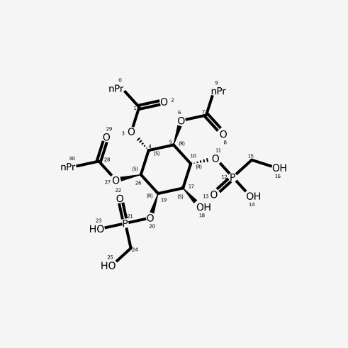 CCCC(=O)O[C@@H]1[C@@H](OC(=O)CCC)[C@H](OP(=O)(O)CO)[C@@H](O)[C@@H](OP(=O)(O)CO)[C@H]1OC(=O)CCC